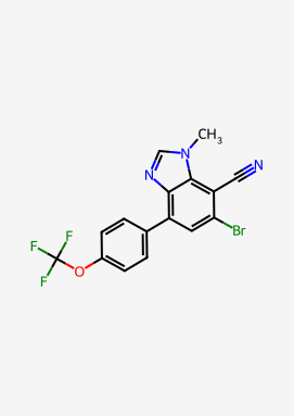 Cn1cnc2c(-c3ccc(OC(F)(F)F)cc3)cc(Br)c(C#N)c21